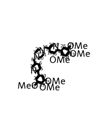 COc1cc(-c2ccc(CN3CCN(Cc4ccc(-c5cc(OC)c(OC)c(OC)c5)nc4)CC3)cn2)cc(OC)c1OC